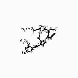 COCc1nnc2n1Cc1c(C#Cc3c[nH]nc3OC)ncn1-c1ccc(Cl)cc1-2